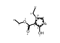 CCOC(=O)c1c(O)ncn1CC